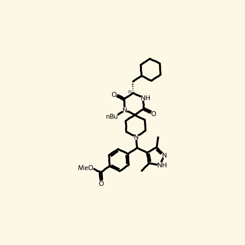 CCCCN1C(=O)[C@H](CC2CCCCC2)NC(=O)C12CCN(C(c1ccc(C(=O)OC)cc1)c1c(C)n[nH]c1C)CC2